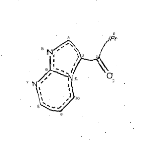 CC(C)C(=O)c1cnc2ncccn12